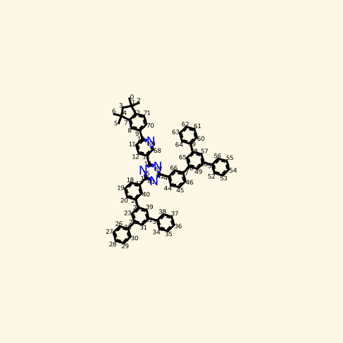 CC1(C)CC(C)(C)c2cc(-c3ccc(-c4nc(-c5cccc(-c6cc(-c7ccccc7)cc(-c7ccccc7)c6)c5)nc(-c5cccc(-c6cc(-c7ccccc7)cc(-c7ccccc7)c6)c5)n4)cn3)ccc21